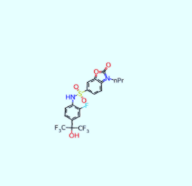 CCCn1c(=O)oc2cc(S(=O)(=O)Nc3ccc(C(O)(C(F)(F)F)C(F)(F)F)cc3F)ccc21